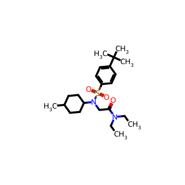 CCN(CC)C(=O)CN(C1CCC(C)CC1)S(=O)(=O)c1ccc(C(C)(C)C)cc1